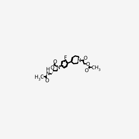 CC(=O)NC[C@H]1CN(c2ccc(C3=CCCN(C(=O)COC(C)=O)CC3)c(F)c2)C(=O)O1